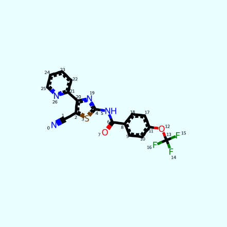 N#Cc1sc(NC(=O)c2ccc(OC(F)(F)F)cc2)nc1-c1ccccn1